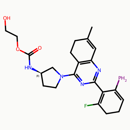 CC1=Cc2nc(C3=C(F)CCC=C3P)nc(N3CC[C@@H](NC(=O)OCCO)C3)c2CC1